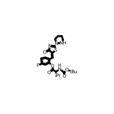 CC(C)[C@H](NC(=O)OC(C)(C)C)C(=O)Oc1cc(F)ccc1/C=C1/SC(N2CCCCN2)=NC1=O